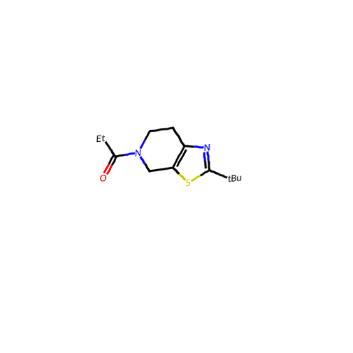 CCC(=O)N1CCc2nc(C(C)(C)C)sc2C1